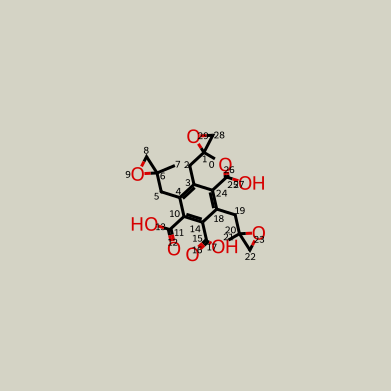 CC1(Cc2c(CC3(C)CO3)c(C(=O)O)c(C(=O)O)c(CC3(C)CO3)c2C(=O)O)CO1